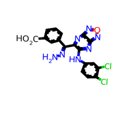 NN=C(c1cccc(C(=O)O)c1)c1nc2nonc2nc1Nc1ccc(Cl)c(Cl)c1